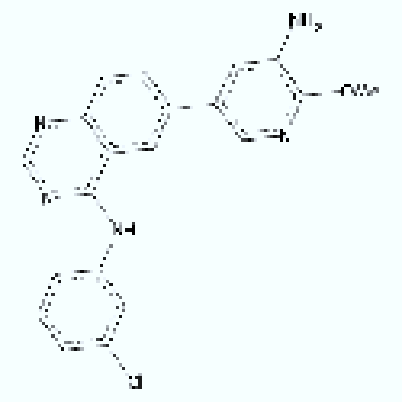 COc1ncc(-c2ccc3ncnc(Nc4cccc(Cl)c4)c3c2)cc1N